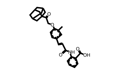 Cc1cc(/C=C/C(=O)Nc2ccccc2C(=O)O)ccc1OCC(=O)C12CC3CC(CC(C3)C1)C2